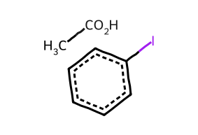 CC(=O)O.Ic1ccccc1